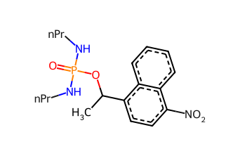 CCCNP(=O)(NCCC)OC(C)c1ccc([N+](=O)[O-])c2ccccc12